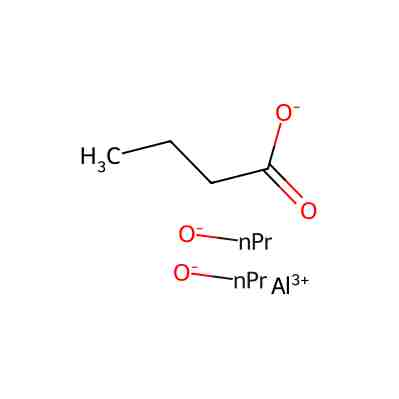 CCCC(=O)[O-].CCC[O-].CCC[O-].[Al+3]